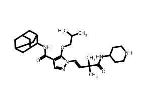 CC(C)COc1c(C(=O)NC2C3CC4CC(C3)CC2C4)cnn1/C=C/C(C)(C)C(=O)NC1CCNCC1